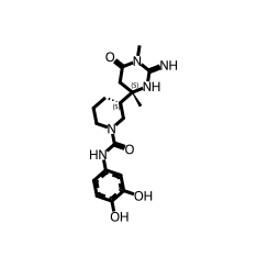 CN1C(=N)N[C@](C)([C@H]2CCCN(C(=O)Nc3ccc(O)c(O)c3)C2)CC1=O